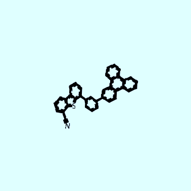 N#Cc1cccc2c1sc1c(-c3cccc(-c4ccc5c6ccccc6c6ccccc6c5c4)c3)cccc12